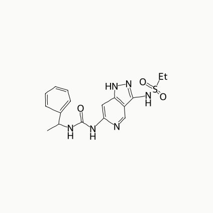 CCS(=O)(=O)Nc1n[nH]c2cc(NC(=O)NC(C)c3ccccc3)ncc12